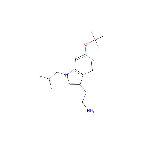 CC(C)Cn1cc(CCN)c2ccc(OC(C)(C)C)cc21